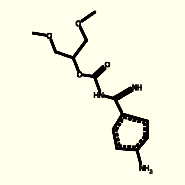 COCC(COC)OC(=O)NC(=N)c1ccc(N)cc1